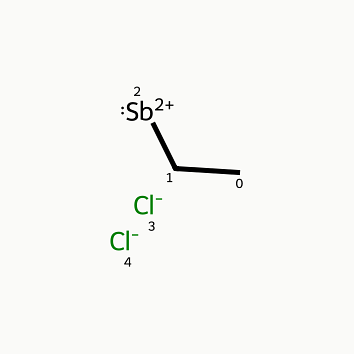 C[CH2][Sb+2].[Cl-].[Cl-]